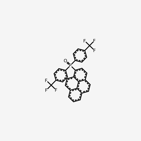 O=P(c1ccc(C(F)(F)F)cc1)(c1ccc(C(F)(F)F)cc1)c1ccc2ccc3cccc4ccc1c2c34